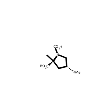 CO[C@H]1CN(C(=O)O)[C@](C)(C(=O)O)C1